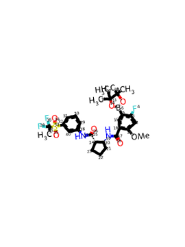 COc1cc(F)c(B2OC(C)(C)C(C)(C)O2)cc1C(=O)N[C@@H]1CCC[C@@H]1C(=O)Nc1cccc(S(=O)(=O)C(C)(F)F)c1